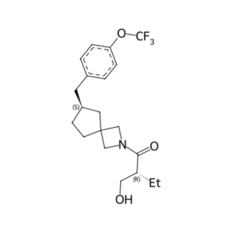 CC[C@H](CO)C(=O)N1CC2(CC[C@@H](Cc3ccc(OC(F)(F)F)cc3)C2)C1